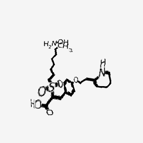 CCCCCCCCS(=O)(=O)C(Cc1ccc(OCCC2CCCCN2)cc1)C(=O)O.NO